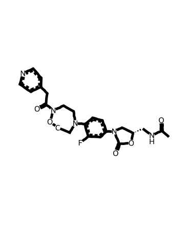 CC(=O)NC[C@H]1CN(c2ccc(N3CCON(C(=O)Cc4ccncc4)CC3)c(F)c2)C(=O)O1